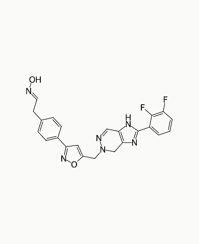 ON=CCc1ccc(-c2cc(CN3Cc4nc(-c5cccc(F)c5F)[nH]c4C=N3)on2)cc1